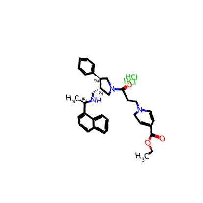 CCOC(=O)C1=CCN(CCC(=O)N2C[C@H](CN[C@H](C)c3cccc4ccccc34)[C@@H](c3ccccc3)C2)C=C1.Cl.Cl